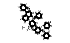 CC12C=CC(N(c3ccccc3)c3cc4sc5ccccc5c4c4ccccc34)=CC1c1cc(N(c3ccccc3)c3ccccc3)ccc1S2